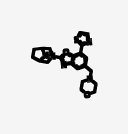 c1csc(-c2cc(CN3CCOCC3)cc3nc(N4CC5CCC(C4)N5)oc23)n1